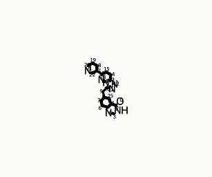 O=c1[nH]cnc2ccc(Cc3nnc4ccc(-c5cccnc5)nn34)cc12